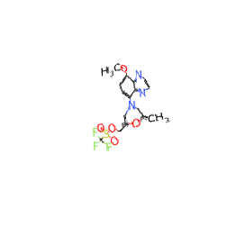 COc1ccc(N2C[C@H](COS(=O)(=O)C(F)(F)F)O[C@H](C)C2)c2nccnc12